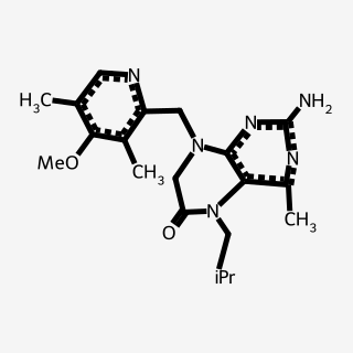 COc1c(C)cnc(CN2CC(=O)N(CC(C)C)c3c(C)nc(N)nc32)c1C